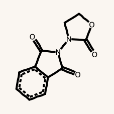 O=C1OCCN1N1C(=O)c2ccccc2C1=O